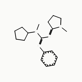 CN1CCCC1=NC(=Nc1ccccc1)N(C)C1CCCC1